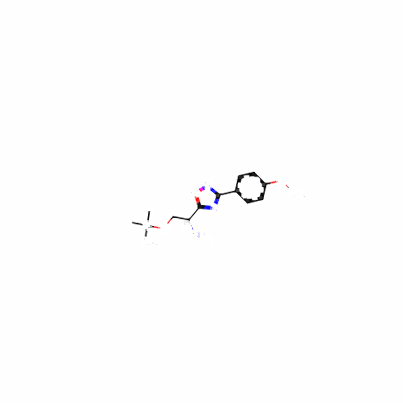 CC(C)(C)[Si](C)(C)OC[C@H](N)c1nc(-c2ccc(OC(F)(F)F)cc2)no1